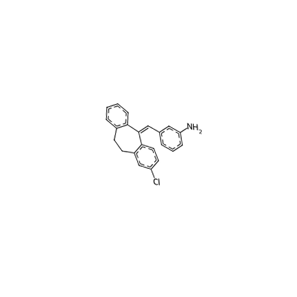 Nc1cccc(C=C2c3ccccc3CCc3cc(Cl)ccc32)c1